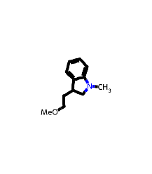 COCCC1CN(C)c2ccccc21